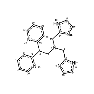 c1ccc(C(CN(Cc2ncc[nH]2)Cc2ncc[nH]2)c2ccccn2)nc1